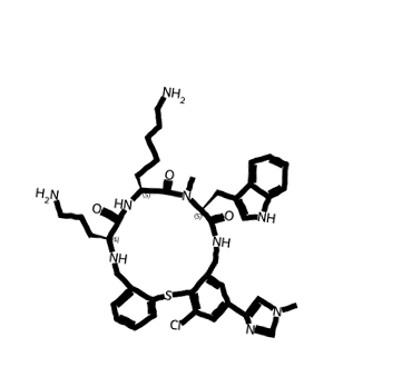 CN1C(=O)[C@H](CCCCCN)NC(=O)[C@H](CCCN)NCc2ccccc2Sc2c(Cl)cc(-c3cn(C)cn3)cc2CNC(=O)[C@@H]1Cc1c[nH]c2ccccc12